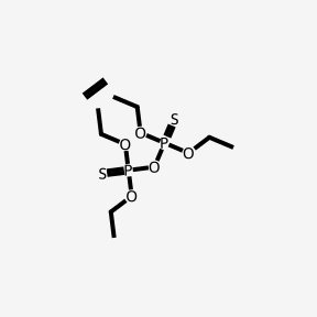 C=C.CCOP(=S)(OCC)OP(=S)(OCC)OCC